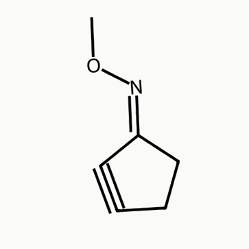 CO/N=C1\C#CCC1